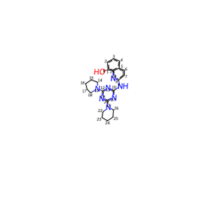 Oc1cccc2ccc(Nc3nc(N4CCCCC4)nc(N4CCCCC4)n3)nc12